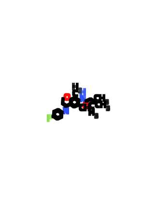 Cc1cc2c(c(C)c1NC(=O)CC(C)(C)C)OCCC2=Nc1ccc(F)cc1